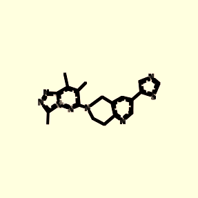 Cc1c(N2CCc3ncc(-c4cncs4)cc3C2)nn2c(C)nnc2c1C